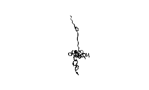 CC#CCOc1ccc(C[C@H](NC(=O)[C@@H](C=CCCCCCCOCCCCCCC)[C@@](O)(CCC)C(=O)O)C(=O)O)cc1